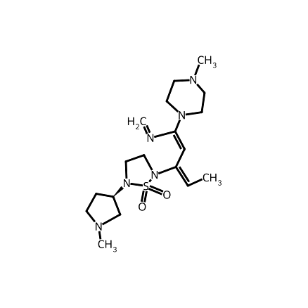 C=N/C(=C\C(=C/C)N1CCN([C@@H]2CCN(C)C2)S1(=O)=O)N1CCN(C)CC1